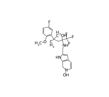 COc1ccc(F)cc1C(C)(C)CC(O)(NCc1cc2c([nH]1)CN(O)C=C2)C(F)(F)F